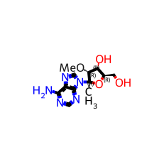 CO[C@@H]1[C@H](O)[C@@H](CO)O[C@@]1(C)n1cnc2c(N)ncnc21